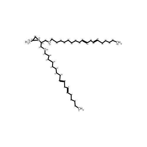 CCCCCC=CCC=CCCCCCCCCOCC(COCCCCCCCCC=CCC=CCCCCC)N1CC1C